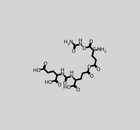 NC(=O)NOC(=O)[C@@H](N)CCC(=O)OC(=O)CCC(NC(=O)NC(CCC(=O)O)C(=O)O)C(=O)O